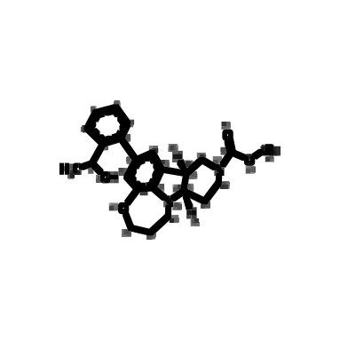 CC(O)c1ccccc1-c1cc2c3c(c1)[C@@H]1CN(C(=O)OC(C)(C)C)CC[C@@H]1N3CCCO2